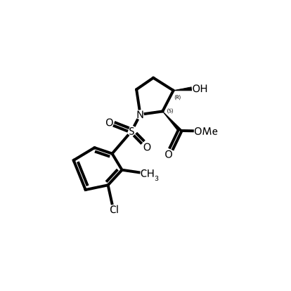 COC(=O)[C@@H]1[C@H](O)CCN1S(=O)(=O)c1cccc(Cl)c1C